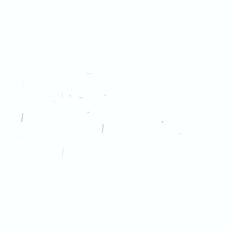 CCC(C)(F)COC(C)(F)C(F)(F)OC(F)(C(=O)O)C(F)(F)F